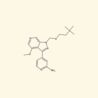 COc1cncc2c1c(-c1ccnc(N)c1)nn2COCC[Si](C)(C)C